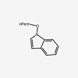 CCCCCOn1ccc2ccccc21